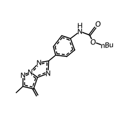 C=c1c(C)nn2nc(-c3ccc(NC(=O)OCCCC)cc3)nc12